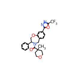 CC1(C(=O)N2Cc3ccc(-c4nnc(C(F)(F)F)o4)cc3OCC2c2ccccc2)CCOCC1